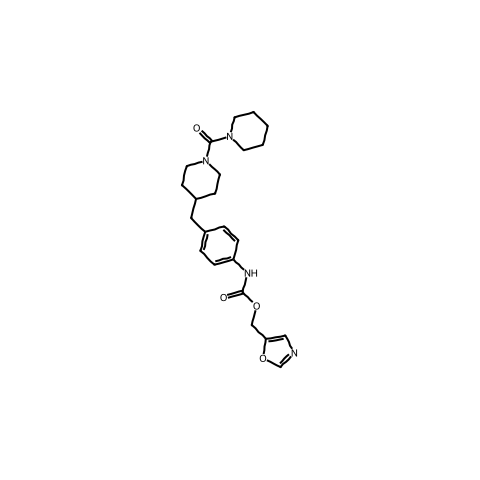 O=C(Nc1ccc(CC2CCN(C(=O)N3CCCCC3)CC2)cc1)OCc1cnco1